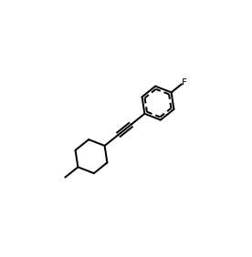 CC1CCC(C#Cc2ccc(F)cc2)CC1